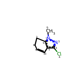 Cn1nc(Cl)c2c1CCC=C2